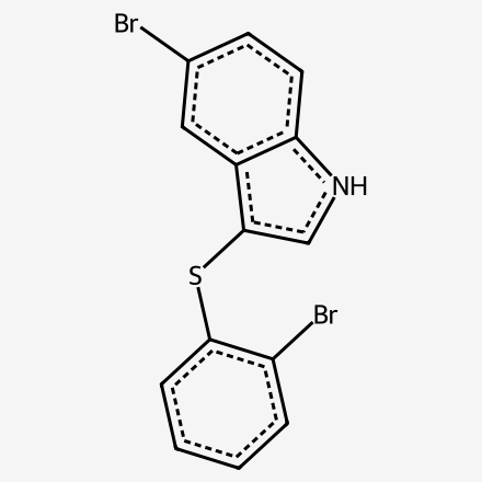 Brc1ccc2[nH]cc(Sc3ccccc3Br)c2c1